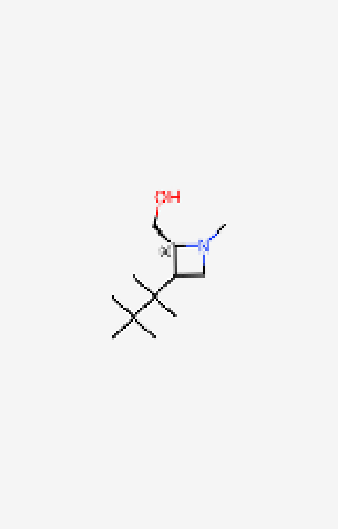 CN1CC(C(C)(C)C(C)(C)C)[C@H]1CO